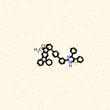 CC1(C)C2=C(c3cc4c(cc31)-c1ccccc1C41CCCCC1)C(C1C=CC(c3cccc(C4N=C(c5ccccc5)c5c(sc6c5=CCCC=6)N4)c3)=CC1)CC=C2